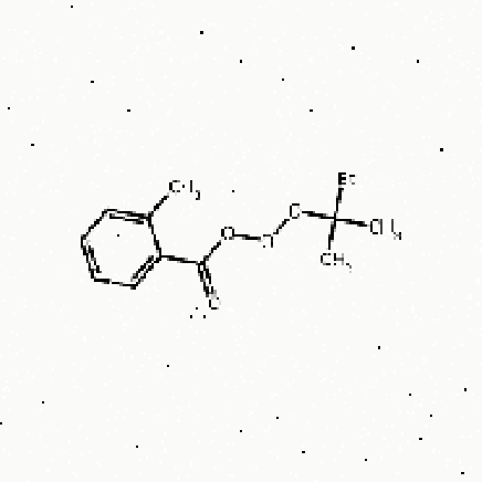 CCC(C)(C)OOOC(=O)c1ccccc1C